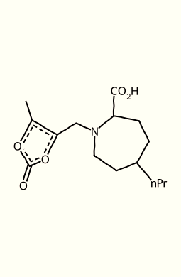 CCCC1CCC(C(=O)O)N(Cc2oc(=O)oc2C)CC1